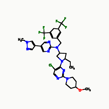 CCC1CC(N(CC2=CC(C(F)(F)F)CC(C(F)(F)F)=C2)c2ncc(-c3cnn(C)c3)cn2)CN1c1nc(N2CCC(OC)CC2)ncc1Cl